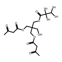 CC(=O)CC(=O)OCC(CO)(COC(=O)CC(C)=O)COC(=O)C(S)(S)C(S)S